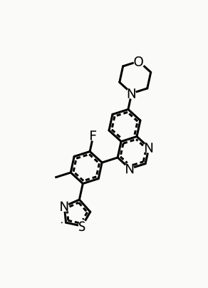 Cc1cc(F)c(-c2ncnc3cc(N4CCOCC4)ccc23)cc1-c1cs[c]n1